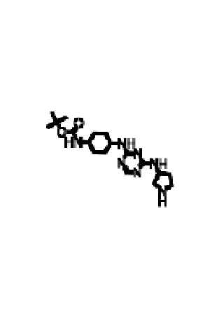 CC(C)(C)OC(=O)NC1CCC(Nc2ncnc(NC3CCNC3)n2)CC1